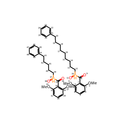 COc1cccc(OC)c1C(=O)[PH](=O)CCCCCCCCCc1ccccc1.COc1cccc(OC)c1C(=O)[PH](=O)CCCCCc1ccccc1